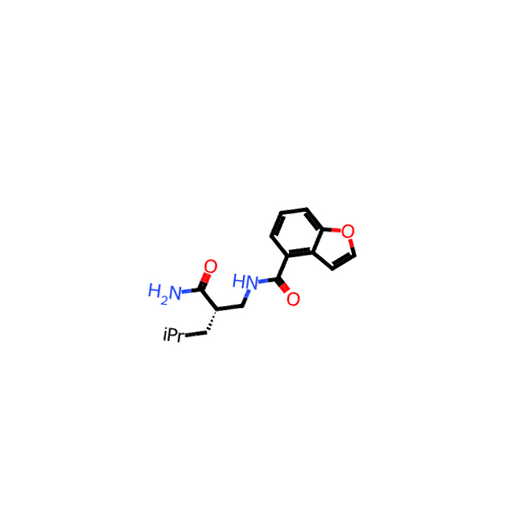 CC(C)C[C@@H](CNC(=O)c1cccc2occc12)C(N)=O